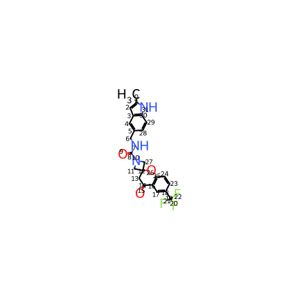 Cc1cc2cc(CNC(=O)N3CC4(CC(=O)c5cc(C(F)(F)F)ccc5O4)C3)ccc2[nH]1